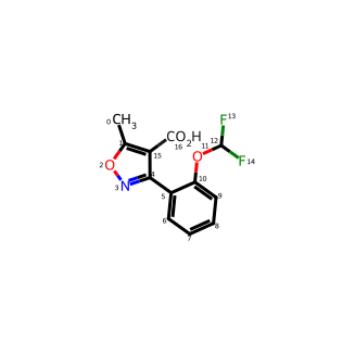 Cc1onc(-c2ccccc2OC(F)F)c1C(=O)O